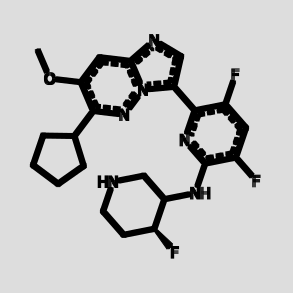 COc1cc2ncc(-c3nc(NC4CNCC[C@@H]4F)c(F)cc3F)n2nc1C1CCCC1